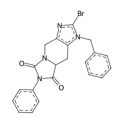 O=C1C2Cc3c(nc(Br)n3Cc3ccccc3)CN2C(=O)N1c1ccccc1